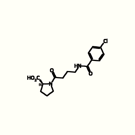 O=C(NCCCC(=O)N1CCC[C@H]1C(=O)O)c1ccc(Cl)cc1